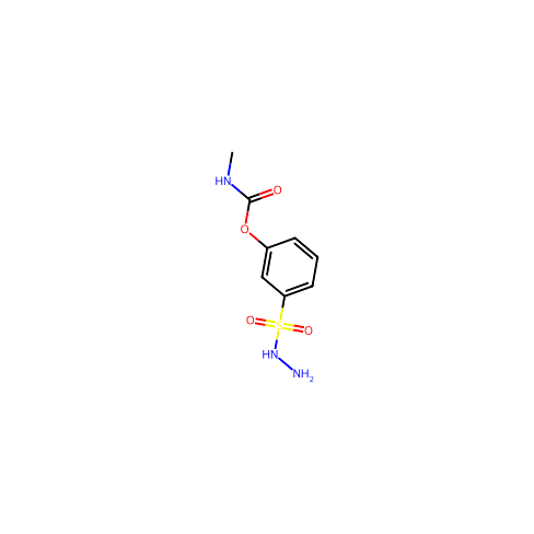 CNC(=O)Oc1cccc(S(=O)(=O)NN)c1